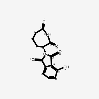 O=C1CCC[C@H](N2C(=O)c3cccc(O)c3C2=O)C(=O)N1